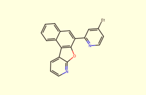 CCc1ccnc(-c2cc3ccccc3c3c2oc2ncccc23)c1